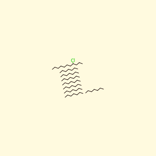 CCCCCCC.CCCCCCC.CCCCCCC.CCCCCCC.CCCCCCC.CCCCCCC.CCCCCCC.CCCCCCC.CCCCCCCC(Cl)CCC